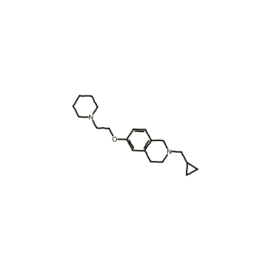 c1cc2c(cc1OCCN1CCCCC1)CCN(CC1CC1)C2